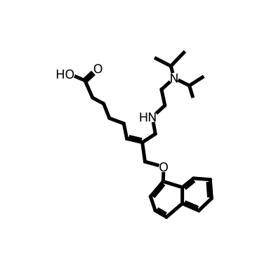 CC(C)N(CCNCC(=CCCCCC(=O)O)COc1cccc2ccccc12)C(C)C